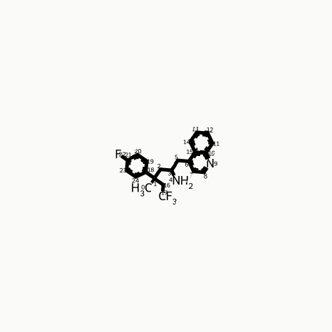 CC(CC(N)Cc1ccnc2ccccc12)(CC(F)(F)F)c1ccc(F)cc1